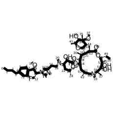 CCCCc1ccc([C@@H](OC)[C@@H](CF)n2cc(CCN(C)[C@H]3C[C@@H](C)O[C@@H](O[C@@H]4[C@@H](C)C([C@H]5C[C@@](C)(OC)[C@@H](O)[C@H](C)O5)[C@@H](C)C(=O)O[C@H](CC)[C@@](C)(O)[C@H](O)[C@@H](C)N(C)C[C@H](C)C[C@@]4(C)O)[C@@H]3O)nn2)cc1